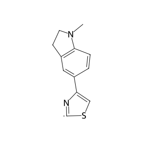 CN1CCc2cc(-c3cs[c]n3)ccc21